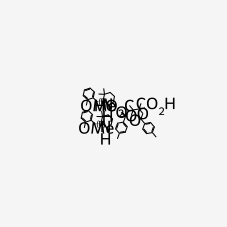 COc1ccccc1C[C@H]1NCCCC1(C)C.COc1ccccc1C[C@H]1NCCCC1(C)C.Cc1ccc(C(=O)OC(C(=O)O)C(OC(=O)c2ccc(C)cc2)C(=O)O)cc1